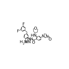 N=C(NC(=O)c1ccc(N2CCN(C=O)C2)cc1NC1CCOCC1)c1cc(Cc2cc(F)cc(F)c2)ccc1N